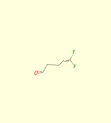 O=CCCC=C(F)F